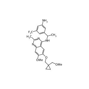 COCC1(COc2cc3c(NC(C)c4cc(N)cc(C(F)(F)F)c4)nc(C)nc3cc2OC)CC1